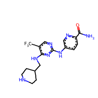 NC(=O)c1ccc(Nc2ncc(C(F)(F)F)c(NCC3CCNCC3)n2)cn1